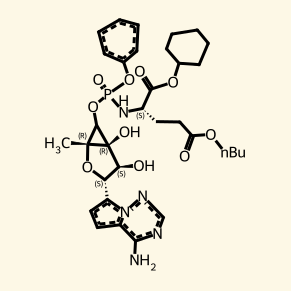 CCCCOC(=O)CC[C@H](NP(=O)(Oc1ccccc1)OC1[C@@]2(C)O[C@@H](c3ccc4c(N)ncnn34)[C@H](O)[C@@]12O)C(=O)OC1CCCCC1